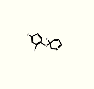 Fc1ccc(SC2(F)[CH]N=CC=C2)c(F)c1